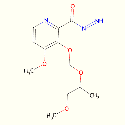 COCC(C)OCOc1c(OC)ccnc1C(=O)N=N